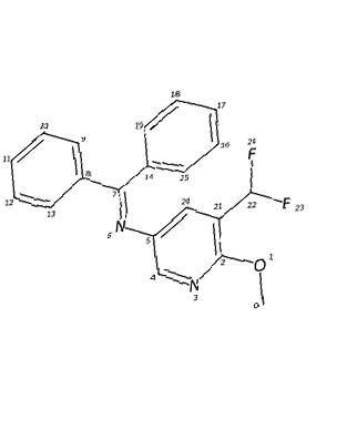 COc1ncc(N=C(c2ccccc2)c2ccccc2)cc1C(F)F